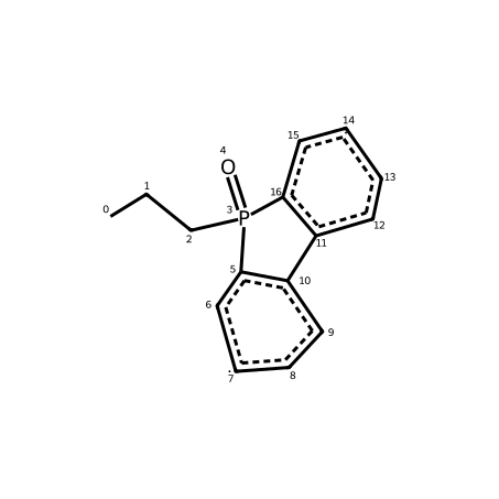 CCCP1(=O)c2c[c]ccc2-c2cc[c]cc21